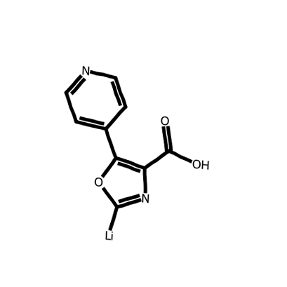 [Li][c]1nc(C(=O)O)c(-c2ccncc2)o1